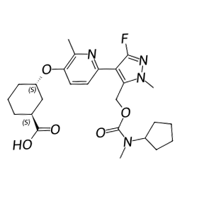 Cc1nc(-c2c(F)nn(C)c2COC(=O)N(C)C2CCCC2)ccc1O[C@H]1CCC[C@H](C(=O)O)C1